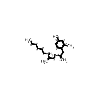 C=C(CNC(=C)Cc1ccc(O)cc1C)NCCCCCC